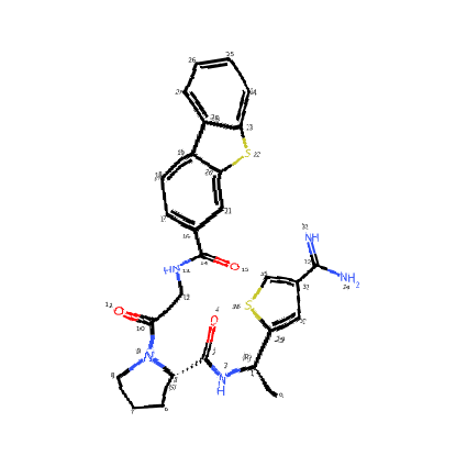 C[C@@H](NC(=O)[C@@H]1CCCN1C(=O)CNC(=O)c1ccc2c(c1)sc1ccccc12)c1cc(C(=N)N)cs1